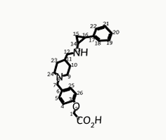 O=C(O)COc1ccc(CN2CCC(CNC3CC3c3ccccc3)CC2)cc1